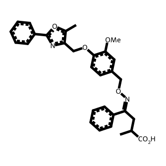 COc1cc(CON=C(CC(C)C(=O)O)c2ccccc2)ccc1OCc1nc(-c2ccccc2)oc1C